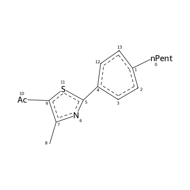 CCCCCc1ccc(-c2nc(C)c(C(C)=O)s2)cc1